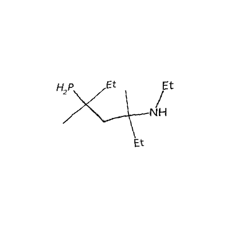 CCNC(C)(CC)CC(C)(P)CC